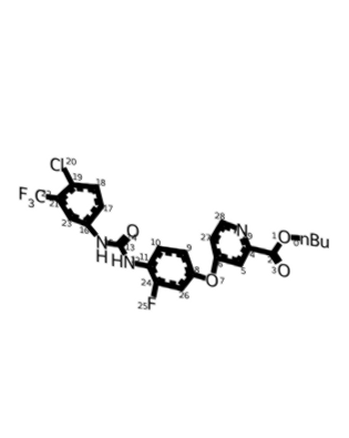 CCCCOC(=O)c1cc(Oc2ccc(NC(=O)Nc3ccc(Cl)c(C(F)(F)F)c3)c(F)c2)ccn1